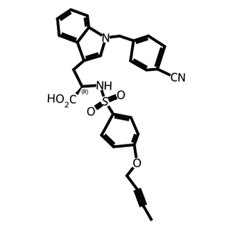 CC#CCOc1ccc(S(=O)(=O)N[C@H](Cc2cn(Cc3ccc(C#N)cc3)c3ccccc23)C(=O)O)cc1